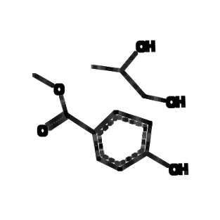 CC(O)CO.COC(=O)c1ccc(O)cc1